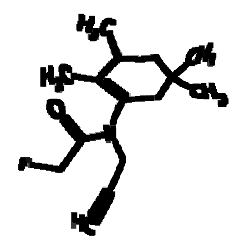 C#CCN(C(=O)CF)C1=C(C)C(C)CC(C)(C)C1